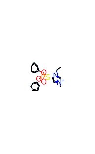 CCn1cc[n+](C)c1.[O-]P(=S)(Oc1ccccc1)Oc1ccccc1